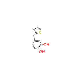 Oc1ccc(Cc2cccs2)cc1O